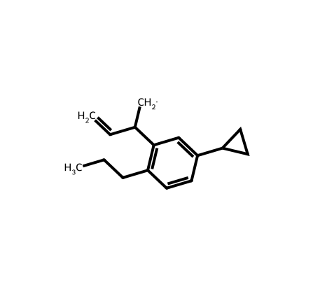 [CH2]C(C=C)c1cc(C2CC2)ccc1CCC